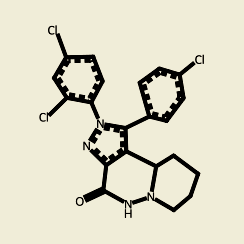 O=C1NN2CCCCC2c2c1nn(-c1ccc(Cl)cc1Cl)c2-c1ccc(Cl)cc1